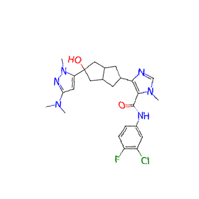 CN(C)c1cc(C2(O)CC3CC(c4ncn(C)c4C(=O)Nc4ccc(F)c(Cl)c4)CC3C2)n(C)n1